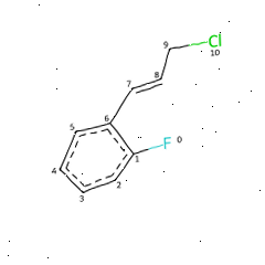 Fc1ccccc1C=CCCl